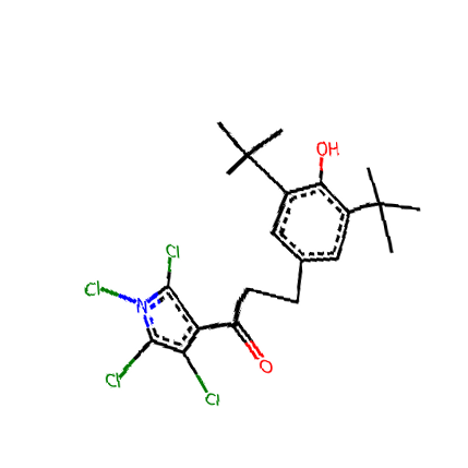 CC(C)(C)c1cc(CCC(=O)c2c(Cl)c(Cl)n(Cl)c2Cl)cc(C(C)(C)C)c1O